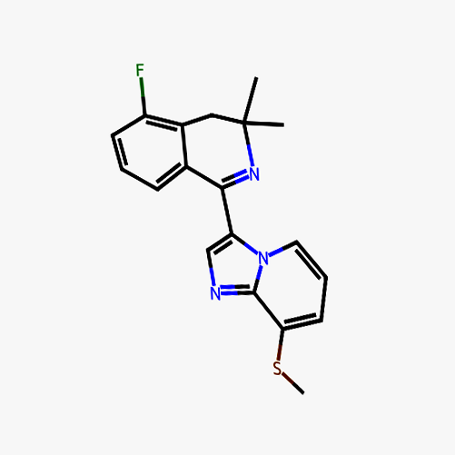 CSc1cccn2c(C3=NC(C)(C)Cc4c(F)cccc43)cnc12